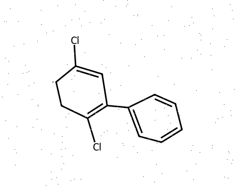 ClC1=CC(c2ccccc2)=C(Cl)C[CH]1